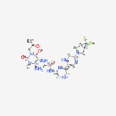 CCC(=O)Cn1c(=O)c(NCC(=O)NC2=CNCC(C3=CN=C(N4CC5C(C4)C5(F)F)CN3)=N2)c(N)n(C)c1=O